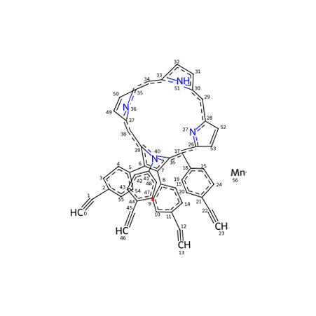 C#Cc1ccc(-c2c(-c3ccc(C#C)cc3)c3c(-c4ccc(C#C)cc4)c4nc(cc5ccc(cc6nc(cc2n3-c2ccc(C#C)cc2)C=C6)[nH]5)C=C4)cc1.[Mn]